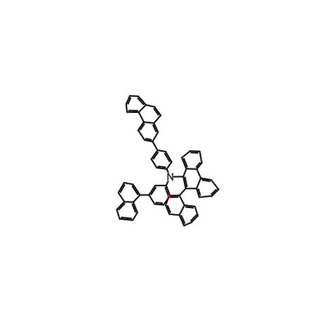 c1cc(-c2cccc3ccccc23)cc(N(c2ccc(-c3ccc4c(ccc5ccccc54)c3)cc2)c2c(-c3cccc4ccccc34)c3ccccc3c3ccccc23)c1